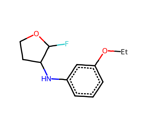 CCOc1cccc(NC2CCO[C]2F)c1